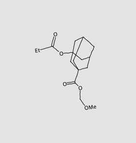 CCC(=O)OC12CC3CC(C1)CC(C(=O)OCOC)(C3)C2